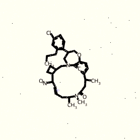 CCCc1cc(Cl)ccc1C1COc2ccc3cc2N(C1)CC1CCC1C(N=O)/C=C/CC(C)N(C)C(=O)CC3C